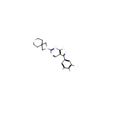 Oc1cc(-c2n[nH]c3nc(N4CC5(CCOCC5)C4)ncc23)cc(C(F)(F)F)c1F